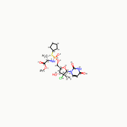 CC(C)OC(=O)[C@H](C)N[P@](=O)(OC[C@H]1O[C@@H](n2ccc(=O)[nH]c2=O)[C@](C)(Cl)[C@@H]1O)SC1CCCC1